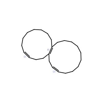 C1=C\C/C2=C(/CCCCCCC/C=C\CC2)CCCCCCCCC/1